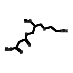 CCCCCCCCCCCCSCC(COC(=O)CC(=O)OC)OC